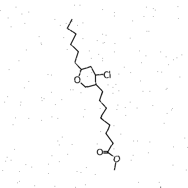 CCCCCCC1CC(Cl)C(CCCCCCCC(=O)OC)CO1